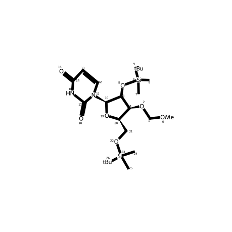 COCO[C@@H]1C(O[Si](C)(C)C(C)(C)C)[C@H](n2ccc(=O)[nH]c2=O)O[C@@H]1CO[Si](C)(C)C(C)(C)C